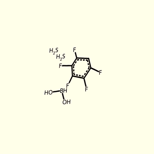 Fc1cc(F)c(F)c(F)c1F.OBO.S.S